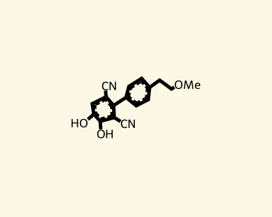 COCCc1ccc(-c2c(C#N)cc(O)c(O)c2C#N)cc1